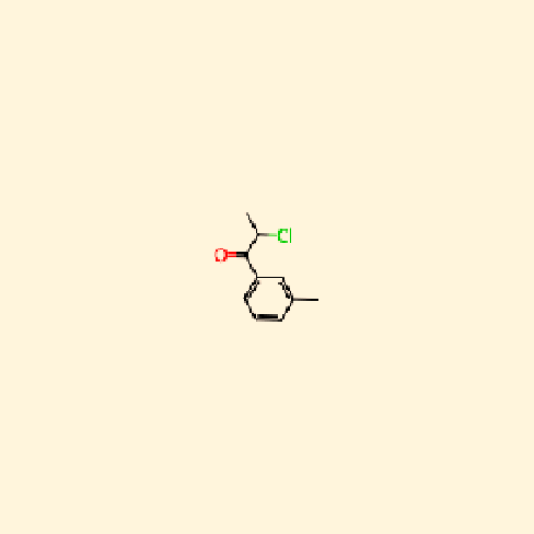 Cc1cccc(C(=O)C(C)Cl)c1